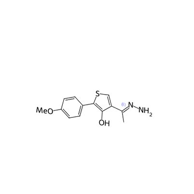 COc1ccc(-c2scc(/C(C)=N/N)c2O)cc1